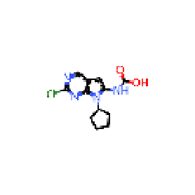 O=C(O)Nc1cc2cnc(Cl)nc2n1C1CCCC1